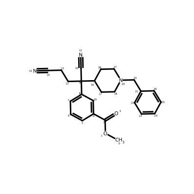 COC(=O)c1cccc(C(C#N)(CCC#N)C2CCN(Cc3ccccc3)CC2)c1